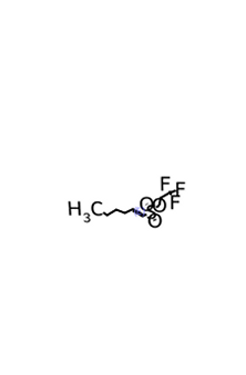 CCCC/C=C/S(=O)(=O)OCC(F)(F)F